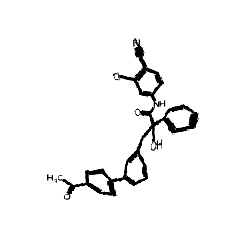 CC(=O)c1ccc(-c2cccc(CC(O)(C(=O)Nc3ccc(C#N)c(Cl)c3)c3ccccc3)c2)cc1